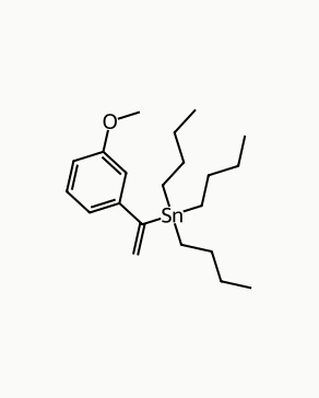 C=[C](c1cccc(OC)c1)[Sn]([CH2]CCC)([CH2]CCC)[CH2]CCC